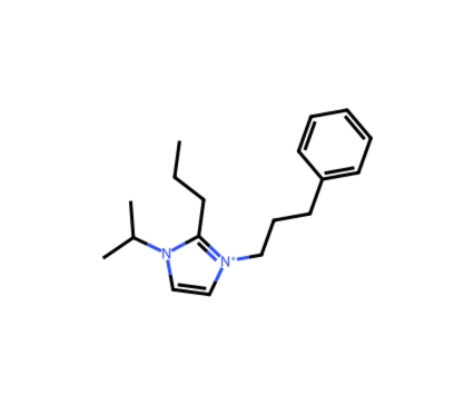 CCCc1n(C(C)C)cc[n+]1CCCc1ccccc1